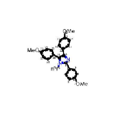 CCCn1c(-c2ccc(OC)cc2)nc(-c2ccc(OC)cc2)c1-c1ccc(OC)cc1